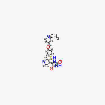 Cc1cc(COc2ccc(Sc3cnccc3C3NC(=O)NC3=O)cc2)ccn1